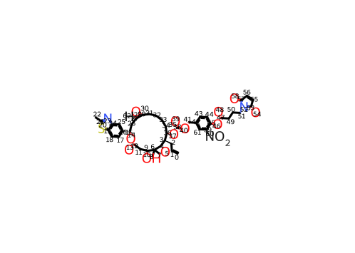 C=CC[C@H]1C(=O)C(C)(C)[C@@H](O)CC(=O)O[C@H](c2ccc3sc(C)nc3c2)C[C@H]2O[C@@]2(C)CCC[C@H](C)[C@@H]1OC(=O)OCc1ccc(OC(=O)CCCN2C(=O)C=CC2=O)c([N+](=O)[O-])c1